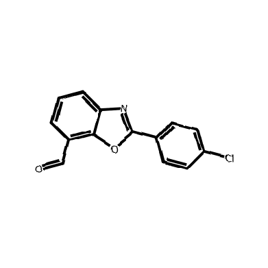 O=Cc1cccc2nc(-c3ccc(Cl)cc3)oc12